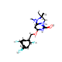 CN1c2cc(OCc3cc(F)c(F)cc3F)nc(=O)n2CC1(C)C